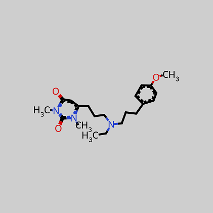 CCN(CCCc1ccc(OC)cc1)CCCc1cc(=O)n(C)c(=O)n1C